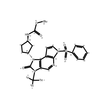 [2H]C([2H])([2H])n1c(=O)n([C@@H]2CC[C@@H](NC(=O)OC(C)(C)C)C2)c2c3ccn(S(=O)(=O)c4ccccc4)c3ncc21